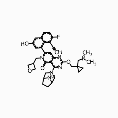 C#Cc1c(F)ccc2cc(O)cc(-c3cc4nc(OCC5(CN(C)C)CC5)nc(N5CC6CCC(C5)N6)c4c(=O)n3CC3COC3)c12